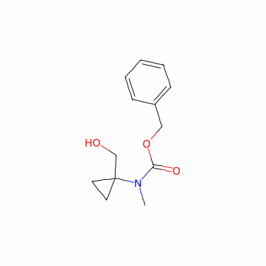 CN(C(=O)OCc1ccccc1)C1(CO)CC1